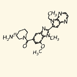 CCn1c(-c2nc3cc(C(=O)N4CCC[C@@H](N)C4)cc(OC)c3n2C)cc2nccnc21